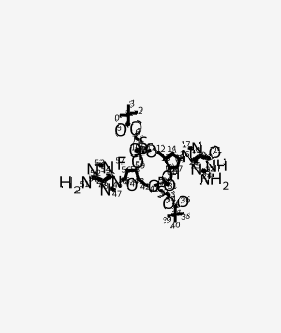 CC(C)(C)C(=O)OCSP1(=O)OCC2C[C@@H](n3cnc4c(=O)[nH]c(N)nc43)C[C@H]2OP(=O)(SCOC(=O)C(C)(C)C)OCC2OC(n3cnc4c(N)ncnc43)C(F)C2O1